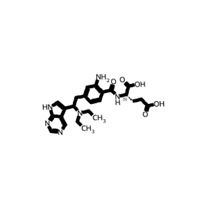 CCN(CC)C(Cc1ccc(C(=O)N[C@@H](CCC(=O)O)C(=O)O)c(N)c1)c1c[nH]c2ncncc12